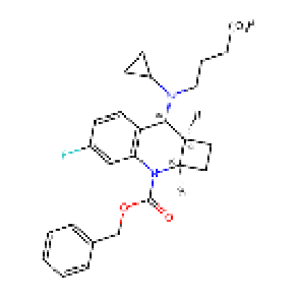 O=C(O)CCCN(C1CC1)[C@H]1c2ccc(F)cc2N(C(=O)OCc2ccccc2)[C@@H]2CC[C@@H]21